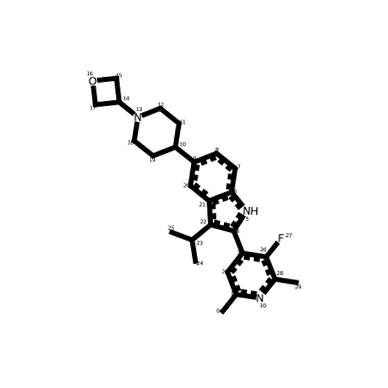 Cc1cc(-c2[nH]c3ccc(C4CCN(C5COC5)CC4)cc3c2C(C)C)c(F)c(C)n1